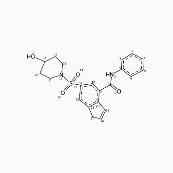 O=C(Nc1ccccc1)c1cc(S(=O)(=O)N2CCC(O)CC2)cc2c1C=CC2